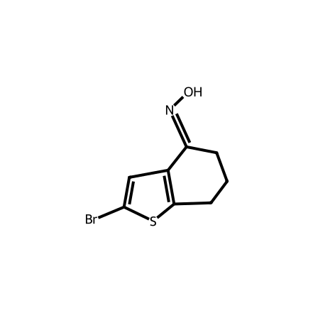 ON=C1CCCc2sc(Br)cc21